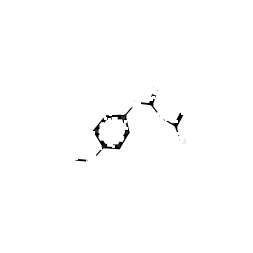 COc1ccc(NC(=N)NC(N)=S)cc1